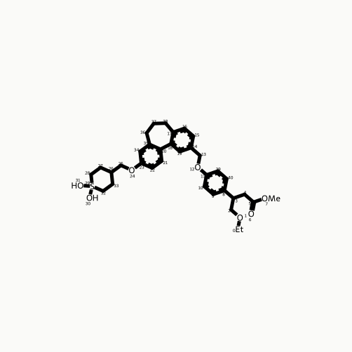 CCOCC(CC(=O)OC)c1ccc(OCc2ccc3c(c2)-c2ccc(OCC4CCS(O)(O)CC4)cc2CCC3)cc1